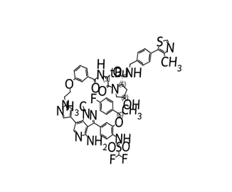 Cc1ncsc1-c1ccc(CNC(=O)[C@@H]2C[C@@H](O)CN2C(=O)[C@@H](NC(=O)c2cccc(OCCn3cc(-c4cnc(N)c5c(-c6ccc(NS(=O)(=O)C(F)F)c(O[C@@H](C)c7ccc(F)cc7)c6)nn(C)c45)cn3)c2)C(C)(C)C)cc1